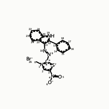 Cn1cc([N+](=O)[O-])s[c+]1N=Nc1c(-c2ccccc2)[nH]c2ccccc12.[Br-]